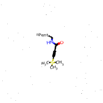 CCCCCCNC(=O)C#CS(C)(C)C